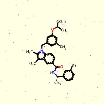 Cc1cc(Cn2c(C)c(C)c3cc(C(=O)N[C@@H](C)c4cccc(C(C)C)c4)ccc32)cc(OC(C)C(=O)O)c1